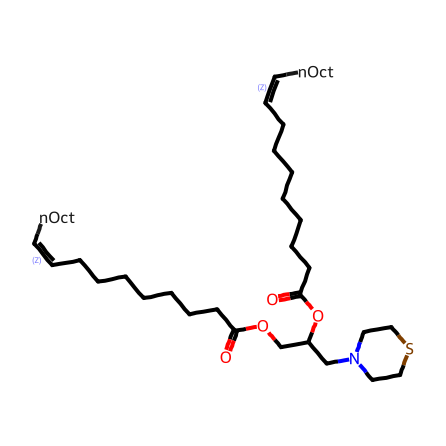 CCCCCCCC/C=C\CCCCCCCC(=O)OCC(CN1CCSCC1)OC(=O)CCCCCCC/C=C\CCCCCCCC